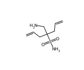 C=CCC(CN)(CC=C)S(N)(=O)=O